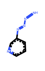 N=NN=Nc1cccnc1